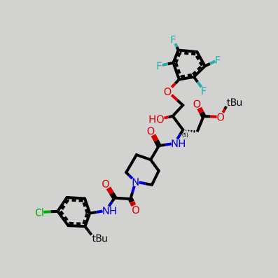 CC(C)(C)OC(=O)C[C@H](NC(=O)C1CCN(C(=O)C(=O)Nc2ccc(Cl)cc2C(C)(C)C)CC1)C(O)COc1c(F)c(F)cc(F)c1F